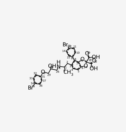 CC(Cc1ccc2c(c1-c1ccc(Br)cc1)OC(C(=O)O)(C(=O)O)O2)NCC(O)COc1ccc(Br)cc1